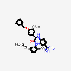 CC(=O)O.COc1cc(C(Nc2ccc(C(=N)N)cc2)C(=O)Nc2ccccc2C(=O)O)ccc1OCc1ccccc1